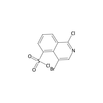 O=S(=O)(Cl)c1cccc2c(Cl)ncc(Br)c12